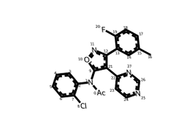 CC(=O)N(c1ccccc1Cl)c1onc(-c2cc(C)ccc2F)c1-c1ccncn1